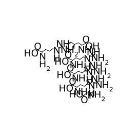 N=C(N)NCCC[C@H](N)C(=O)O.N=C(N)NCCC[C@H](N)C(=O)O.N=C(N)NCCC[C@H](N)C(=O)O.N=C(N)NCCC[C@H](N)C(=O)O.NCC(=O)O.N[C@@H](Cc1ccccc1)C(=O)O